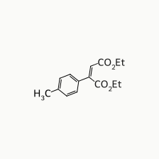 CCOC(=O)C=C(C(=O)OCC)c1ccc(C)cc1